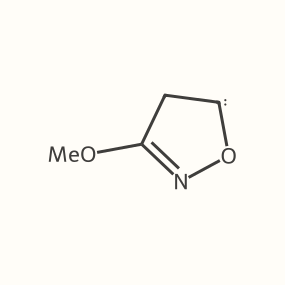 COC1=NO[C]C1